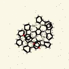 N#Cc1c(-n2c3ccccc3c3ccccc32)c(-n2c3ccccc3c3ccccc32)c(C#N)c(-n2c3cc(-c4ccccc4-c4ccccc4)cc(-c4ccccc4-c4ccccc4)c3c3ccc4c5ccccc5oc4c32)c1-n1c2ccccc2c2ccccc21